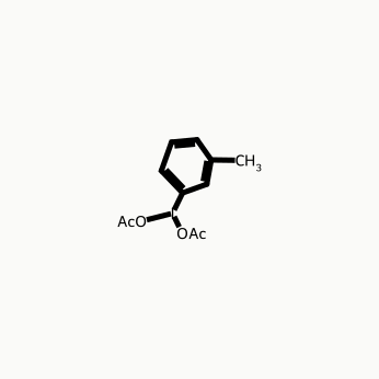 CC(=O)OI(OC(C)=O)c1cccc(C)c1